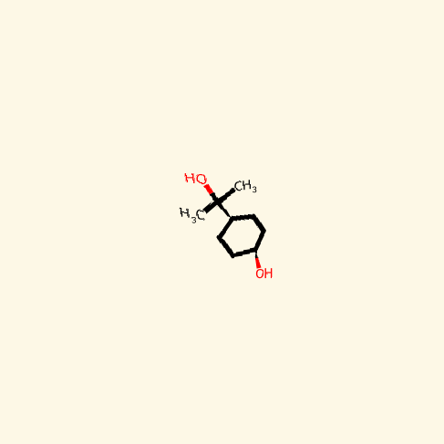 CC(C)(O)[C@H]1CC[C@@H](O)CC1